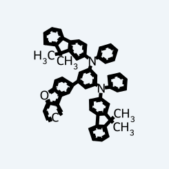 CC1(C)c2ccccc2-c2ccc(N(c3ccccc3)c3cc(-c4ccc5oc6ccccc6c5c4)cc(N(c4ccccc4)c4ccc5c(c4)C(C)(C)c4ccccc4-5)c3)cc21